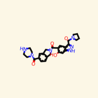 O=C(c1ccc2c(c1)CN(C(=O)c1cc3c(C(=O)N4CCCC4)n[nH]c3cc1O)C2)N1CCNCC1